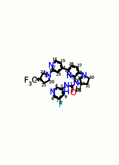 O=C(Nc1cncc(F)c1)N1c2nc(-c3ccnc(N4CCC(C(F)(F)F)C4)c3)ccc2N2CC[C@H]1C2